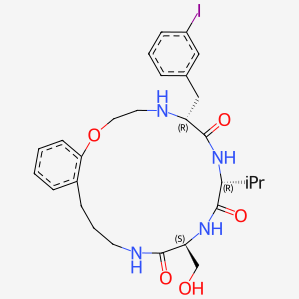 CC(C)[C@H]1NC(=O)[C@@H](Cc2cccc(I)c2)NCCOc2ccccc2CCCNC(=O)[C@H](CO)NC1=O